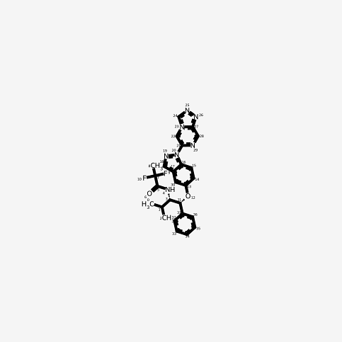 CC(C)[C@H](NC(=O)C(C)(F)F)[C@H](Oc1ccc2c(cnn2-c2cn3cnnc3cn2)c1)c1ccccc1